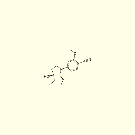 CC[C@@H]1N(c2ccc(C#N)c(OC)c2)CC[C@@]1(O)CC